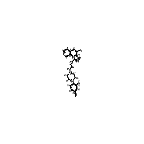 Cc1cc2ccccc2n2c(SCCN3CCN(c4ccc(F)cc4F)CC3)nnc12